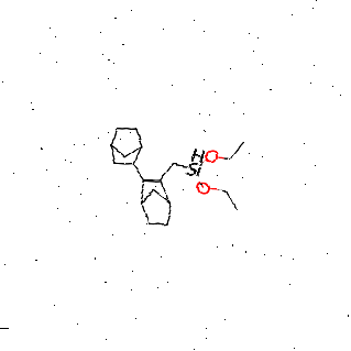 CCO[SiH](CC1C2CCC(C2)C1C1CC2CCC1C2)OCC